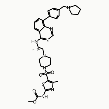 COC(=O)Nc1nc(C)c(S(=O)(=O)N2CCN(C[C@H](C)Nc3ncnc4c(-c5ccc(CN6CCCC6)cc5)cccc34)CC2)s1